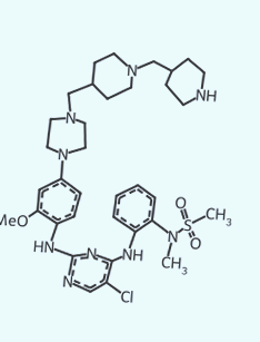 COc1cc(N2CCN(CC3CCN(CC4CCNCC4)CC3)CC2)ccc1Nc1ncc(Cl)c(Nc2ccccc2N(C)S(C)(=O)=O)n1